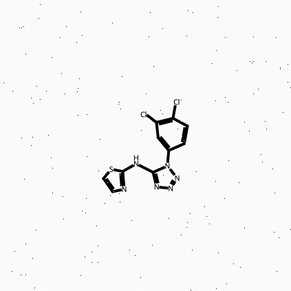 Clc1ccc(-n2nnnc2Nc2nccs2)cc1Cl